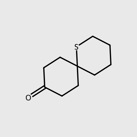 O=C1CCC2(CCCCS2)CC1